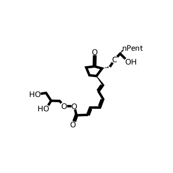 CCCCC[C@H](O)CC[C@H]1C(=O)CC[C@@H]1C=C/C=C\C=CC(=O)OOCC(O)CO